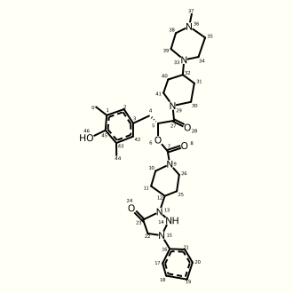 Cc1cc(C[C@@H](OC(=O)N2CCC(N3NN(c4ccccc4)CC3=O)CC2)C(=O)N2CCC(N3CCN(C)CC3)CC2)cc(C)c1O